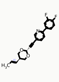 C/C=C/[C@H]1CO[C@H](C#Cc2ccc(-c3ccc(F)c(F)c3)nc2)OC1